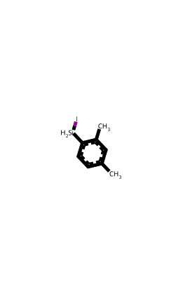 Cc1ccc([SiH2]I)c(C)c1